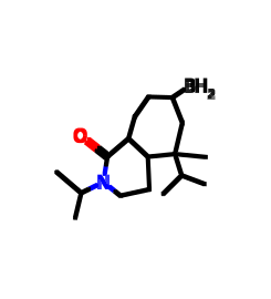 BC1CCC2C(=O)N(C(C)C)CCC2C(C)(C(C)C)C1